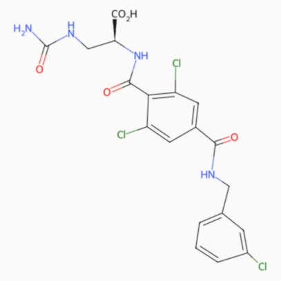 NC(=O)NC[C@H](NC(=O)c1c(Cl)cc(C(=O)NCc2cccc(Cl)c2)cc1Cl)C(=O)O